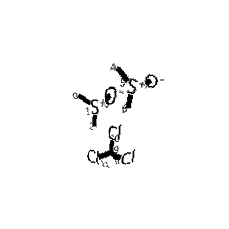 C[S+](C)[O-].C[S+](C)[O-].ClC(Cl)Cl